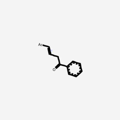 CC(=O)/C=C/CC(=O)c1ccccc1